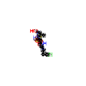 C[C@@H](c1ccccc1-c1ccc(Cl)cc1)C1CCN(c2ccc(C(=O)NS(=O)(=O)c3ccc(N[C@@H](CSc4ccccc4)C[C@@H]4CCCN4CCO)c(S(C)(=O)=O)c3)cc2)CC1